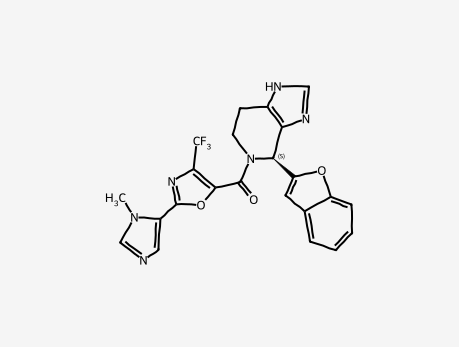 Cn1cncc1-c1nc(C(F)(F)F)c(C(=O)N2CCc3[nH]cnc3[C@H]2c2cc3ccccc3o2)o1